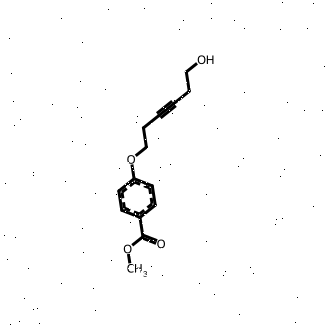 COC(=O)c1ccc(OCCC#CCCO)cc1